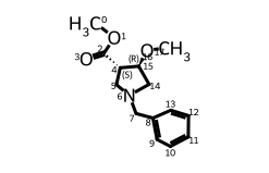 COC(=O)[C@H]1CN(Cc2ccccc2)C[C@@H]1OC